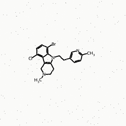 Cc1ccc(CCn2c3c(c4c(Cl)ccc(Br)c42)CN(C)CC3)cn1